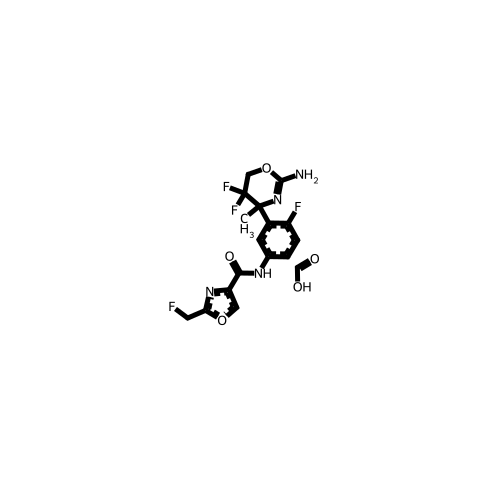 CC1(c2cc(NC(=O)c3coc(CF)n3)ccc2F)N=C(N)OCC1(F)F.O=CO